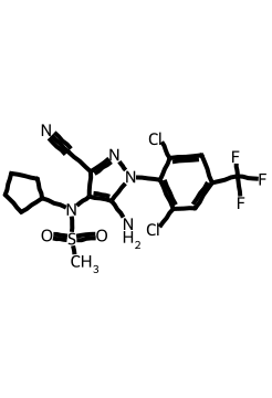 CS(=O)(=O)N(c1c(C#N)nn(-c2c(Cl)cc(C(F)(F)F)cc2Cl)c1N)C1CCCC1